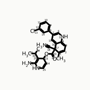 CC1=CC=C2NC=C(c3cccc(Cl)c3)C=C2C1(C#N)C(=O)OC1C=CNC(N)=C1C(C)C